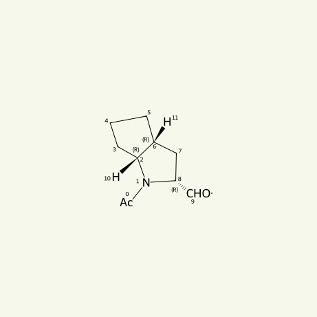 CC(=O)N1[C@@H]2CCC[C@@H]2C[C@@H]1[C]=O